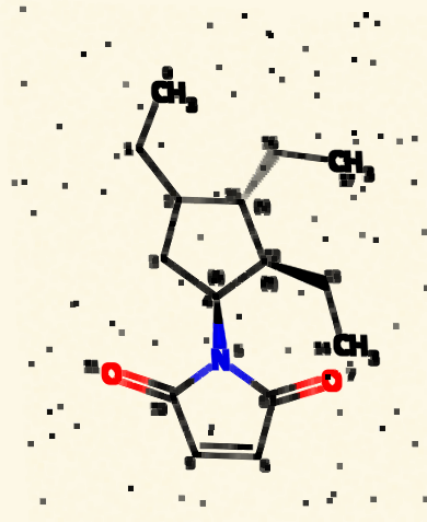 CCC1C[C@H](N2C(=O)C=CC2=O)[C@H](CC)[C@H]1CC